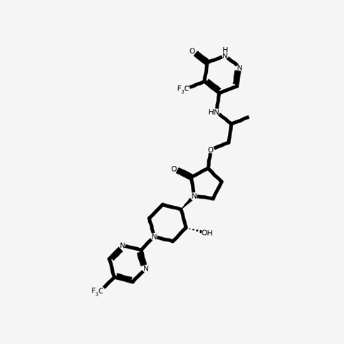 CC(COC1CCN([C@@H]2CCN(c3ncc(C(F)(F)F)cn3)C[C@H]2O)C1=O)Nc1cn[nH]c(=O)c1C(F)(F)F